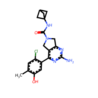 Cc1cc(Cl)c(-c2nc(N)nc3c2CN(C(=O)NC24CC(C2)C4)C3)cc1O